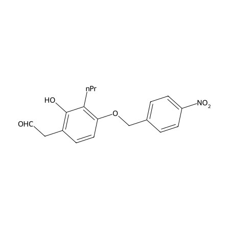 CCCc1c(OCc2ccc([N+](=O)[O-])cc2)ccc(CC=O)c1O